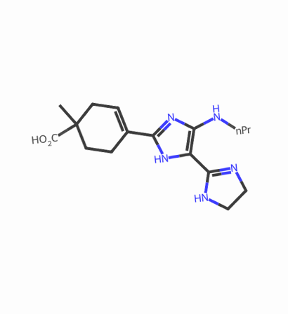 CCCNc1nc(C2=CCC(C)(C(=O)O)CC2)[nH]c1C1=NCCN1